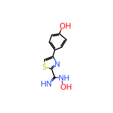 N=C(NO)c1nc(-c2ccc(O)cc2)cs1